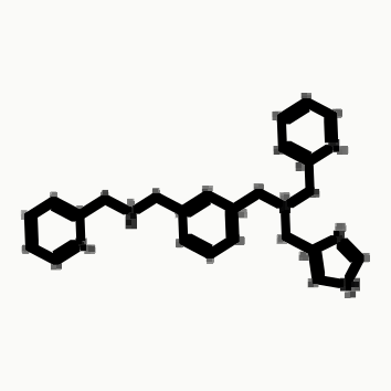 c1ccc(CNCc2cccc(CN(Cc3ccccn3)Cc3c[nH]cn3)c2)nc1